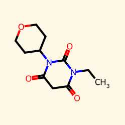 CCN1C(=O)CC(=O)N(C2CCOCC2)C1=O